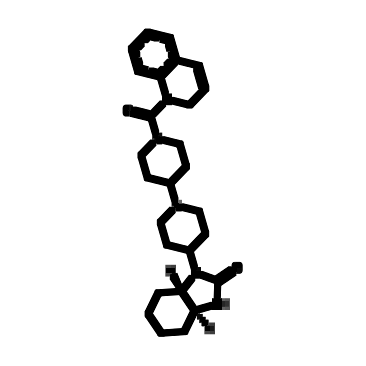 O=C(N1CCC(N2CCC(N3C(=O)N[C@H]4CCCC[C@@H]43)CC2)CC1)N1CC=Cc2ccccc21